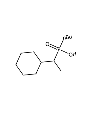 CCCCP(=O)(O)C(C)C1CCCCC1